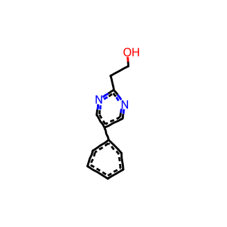 OCCc1ncc(-c2ccccc2)cn1